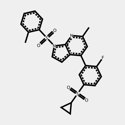 Cc1cc(-c2cc(S(=O)(=O)C3CC3)ccc2F)c2ccn(S(=O)(=O)c3ccccc3C)c2n1